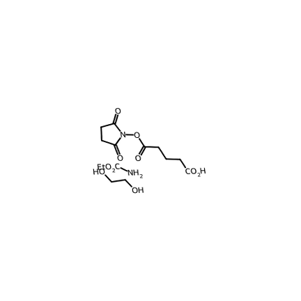 CCOC(N)=O.O=C(O)CCCC(=O)ON1C(=O)CCC1=O.OCCO